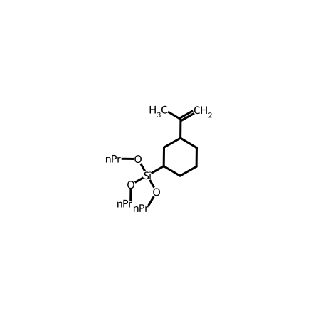 C=C(C)C1CCCC([Si](OCCC)(OCCC)OCCC)C1